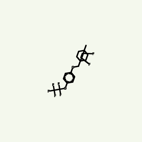 CC12CCC(COc3ccc(OC(F)(F)C(F)(F)F)cc3)(CC1)C(F)=C2F